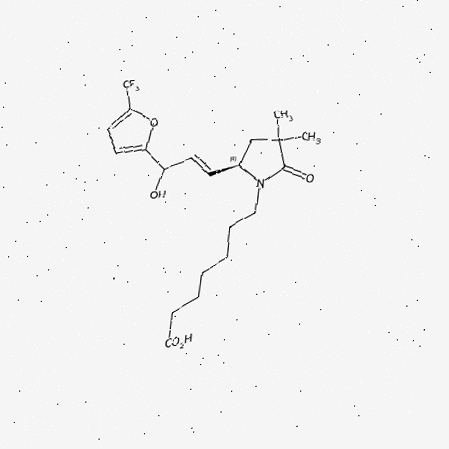 CC1(C)C[C@H](C=CC(O)c2ccc(C(F)(F)F)o2)N(CCCCCCC(=O)O)C1=O